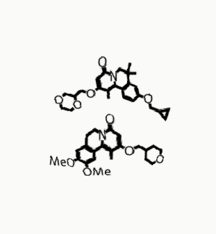 COc1cc2c(cc1OC)-c1c(C)c(OCC3CCOCC3)cc(=O)n1CC2.Cc1c(OCC2COCCO2)cc(=O)n2c1-c1ccc(OCC3CC3)cc1C(C)(C)C2